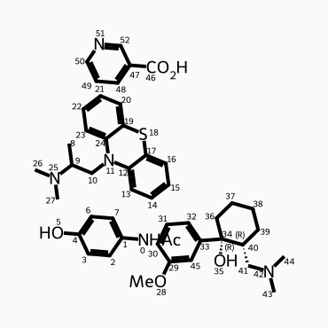 CC(=O)Nc1ccc(O)cc1.CC(CN1c2ccccc2Sc2ccccc21)N(C)C.COc1cccc([C@@]2(O)CCCC[C@@H]2CN(C)C)c1.O=C(O)c1cccnc1